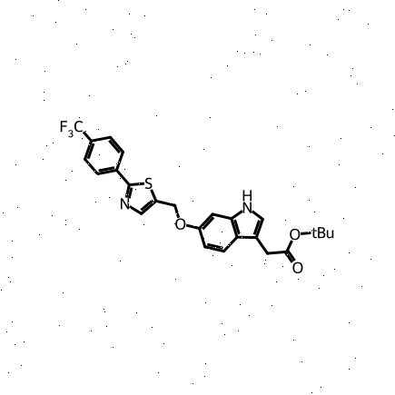 CC(C)(C)OC(=O)Cc1c[nH]c2cc(OCc3cnc(-c4ccc(C(F)(F)F)cc4)s3)ccc12